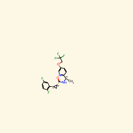 C[C@@H](NC(=O)[C@@H]1C[C@H]1c1cc(F)ccc1F)c1ccc(OCC(F)(F)F)cn1